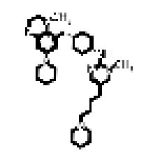 CN1CC(CCCCN2CCCCC2)=CN=C1N[C@H]1CC[C@@H](Cc2cc(N3CCCCC3)cc3c2N(C)CC=N3)CC1